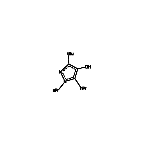 CCCc1c(O)c(C(C)(C)C)nn1CCC